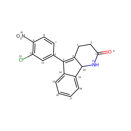 O=C1CCC2=C(c3ccc([N+](=O)[O-])c(Cl)c3)c3ccccc3C2N1